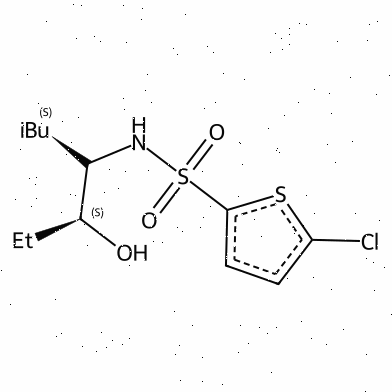 CC[C@H](C)C(NS(=O)(=O)c1ccc(Cl)s1)[C@@H](O)CC